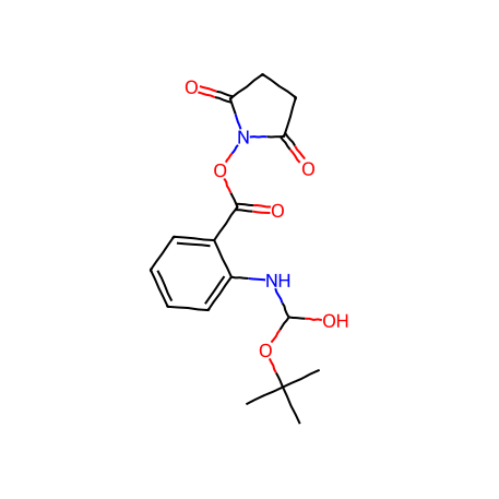 CC(C)(C)OC(O)Nc1ccccc1C(=O)ON1C(=O)CCC1=O